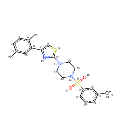 Cc1ccc(C)c(-c2csc(N3CCN(S(=O)(=O)c4cccc(C(F)(F)F)c4)CC3)n2)c1